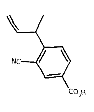 C=CC(C)c1ccc(C(=O)O)cc1C#N